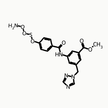 COC(=O)c1cc(Cn2cncn2)cc(NC(=O)c2ccc(OSOON)cc2)c1